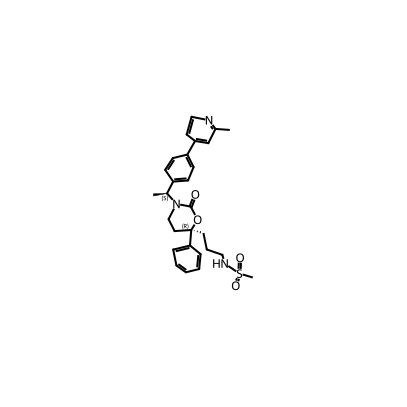 Cc1cc(-c2ccc([C@H](C)N3CC[C@](CCCNS(C)(=O)=O)(c4ccccc4)OC3=O)cc2)ccn1